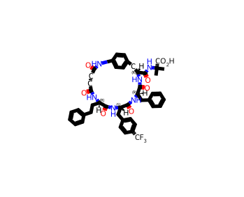 CC(C)(NC(=O)[C@H]1Cc2ccc(cc2)NC(=O)CCC(=O)N[C@H](CCc2ccccc2)C(=O)N[C@@H](Cc2ccc(C(F)(F)F)cc2)C(=O)N[C@H](Cc2ccccc2)C(=O)N1)C(=O)O